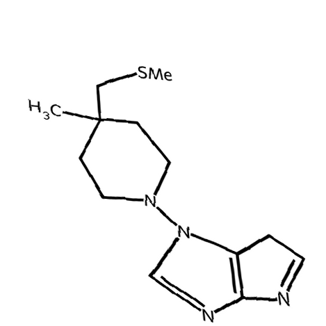 CSCC1(C)CCN(n2cnc3c2CC=N3)CC1